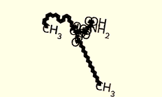 CC/C=C\C/C=C\C/C=C\C/C=C\C/C=C\CCCC(=O)O[C@H](COC(=O)CCCCCCCCCCCCCCCCCC)COP(=O)(O)OC[C@H](N)C(=O)O